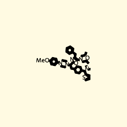 COc1ccc(N2CCN(C(CC3CCC(C(c4cccs4)N(C)C)CC3)c3nc(Cc4ccccc4)c(N4CC(C)OC(C)C4)o3)CC2)cc1